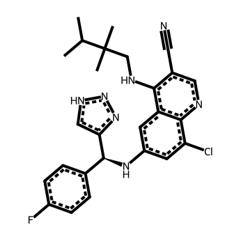 CC(C)C(C)(C)CNc1c(C#N)cnc2c(Cl)cc(N[C@@H](c3ccc(F)cc3)c3c[nH]nn3)cc12